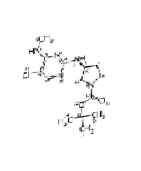 CNc1nc(N[C@H]2CCN(C(=O)OC(C)(C)C)C2)ncc1Cl